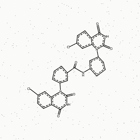 O=C(Nc1cccc(-n2c(=O)[nH]c(=O)c3ccc(Cl)cc32)c1)c1cccc(-n2c(=O)[nH]c(=O)c3ccc(Cl)cc32)c1